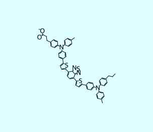 CCCc1ccc(N(c2ccc(C)cc2)c2ccc(-c3ccc(-c4ccc(-c5ccc(-c6ccc(N(c7ccc(C)cc7)c7ccc(CCC(=O)OC)cc7)cc6)s5)c5nsnc45)s3)cc2)cc1